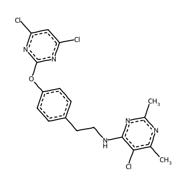 Cc1nc(C)c(Cl)c(NCCc2ccc(Oc3nc(Cl)cc(Cl)n3)cc2)n1